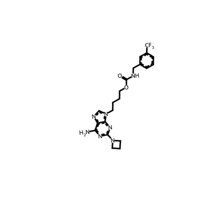 Nc1nc(N2CCC2)nc2c1ncn2CCCCOC(=O)NCc1cccc(C(F)(F)F)c1